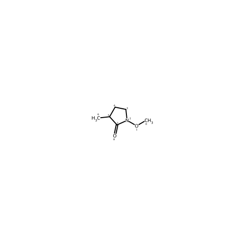 CON1CCC(C)C1=O